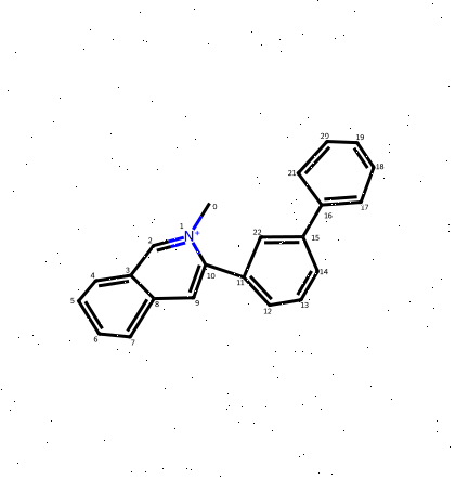 C[n+]1cc2ccccc2cc1-c1cccc(-c2ccccc2)c1